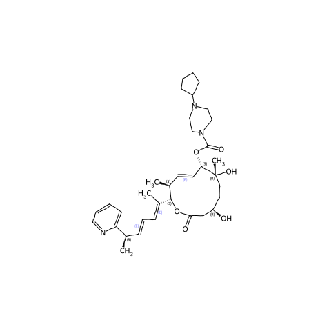 C/C(=C\C=C\[C@@H](C)c1ccccn1)[C@H]1OC(=O)C[C@H](O)CC[C@@](C)(O)[C@@H](OC(=O)N2CCN(C3CCCC3)CC2)/C=C/[C@@H]1C